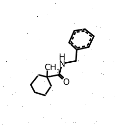 CC1(C(=O)N[CH]c2ccccc2)CCCCC1